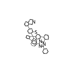 C1=CC(c2nc(-c3ccccc3)nc(-c3ccccc3-c3ccc4c(c3)Sc3cc(-c5cccc6ccncc56)ccc3C43c4ccccc4-c4ccccc43)n2)=CCC1